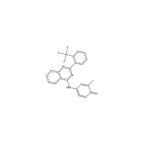 C=C1C=C=C(Nc2nc(-c3ccccc3C(F)(F)F)nc3ccccc23)C=C1C